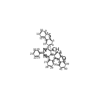 CC1=C(c2ccc3sc4ccccc4c3c2)N=C(c2ccccc2)N=C(c2ccccc2-c2cccc3oc4ccccc4c23)C1